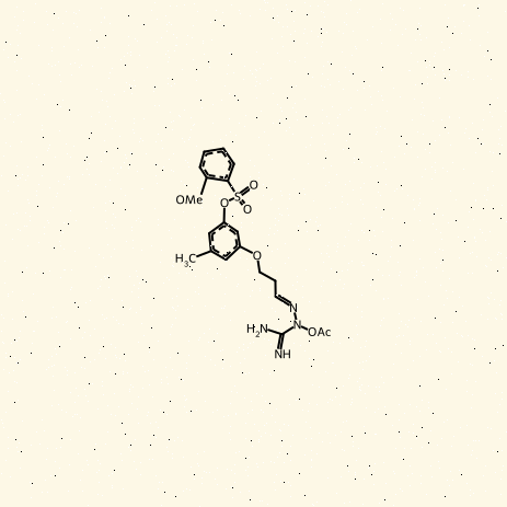 COc1ccccc1S(=O)(=O)Oc1cc(C)cc(OCCC=NN(OC(C)=O)C(=N)N)c1